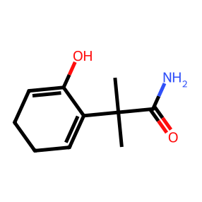 CC(C)(C(N)=O)C1=CCCC=C1O